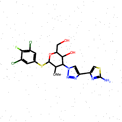 COC1C(Sc2cc(Cl)c(F)c(Cl)c2)OC(CO)C(O)C1n1cc(-c2csc(N)n2)nn1